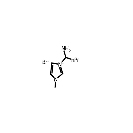 CCCC(N)[n+]1ccn(C)c1.[Br-]